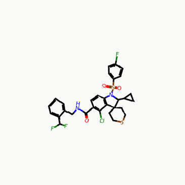 O=C(NCc1ccccc1C(F)F)c1ccc2c(c1Cl)C1(CCSCC1)C(C1CC1)N2S(=O)(=O)c1ccc(F)cc1